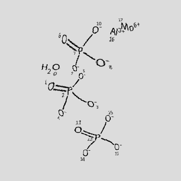 O.O=P([O-])([O-])[O-].O=P([O-])([O-])[O-].O=P([O-])([O-])[O-].[Al+3].[Mo+6]